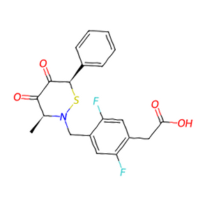 C[C@H]1C(=O)C(=O)[C@@H](c2ccccc2)SN1Cc1cc(F)c(CC(=O)O)cc1F